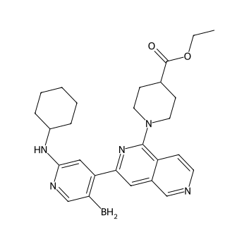 Bc1cnc(NC2CCCCC2)cc1-c1cc2cnccc2c(N2CCC(C(=O)OCC)CC2)n1